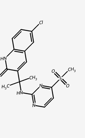 CC(C)(Nc1nccc(S(C)(=O)=O)n1)c1cc2cc(Cl)ccc2[nH]c1=O